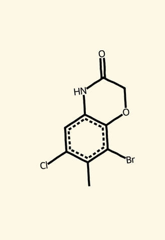 Cc1c(Cl)cc2c(c1Br)OCC(=O)N2